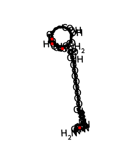 CO[C@H]1C[C@@H]2CC[C@@H](C)[C@@](O)(O2)C(=O)C(=O)N2CCCC[C@H]2C(=O)O[C@H]([C@H](N)C[C@@H]2CC[C@@H](OC(=O)NCCOCCOCCOCCOCCOCCOCCOCCOCCC(=O)N3CCc4cc(Cn5nc(-c6ccc7oc(N)nc7c6)c6c(N(C)C)ncnc65)ccc4C3)[C@H](OC)C2)CC(=O)[C@H](C)/C=C(\C)[C@@H](O)[C@@H](O)C(=O)[C@H](C)C[C@H](C)/C=C/C=C/C=C/1C